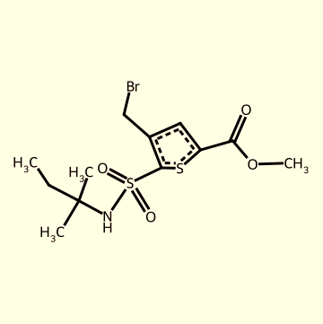 CCC(C)(C)NS(=O)(=O)c1sc(C(=O)OC)cc1CBr